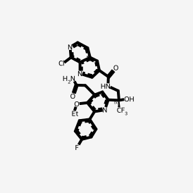 CCOc1c(CC(N)=O)cc([C@@](O)(CNC(=O)c2cnc3c(Cl)nccc3c2)C(F)(F)F)nc1-c1ccc(F)cc1